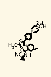 Cc1nc([C@@H]2CC[C@H](F)C[C@H]2C(=O)NC2(C#N)CC2)c(-c2ccc(N3CCS(O)(O)CC3)cc2)s1